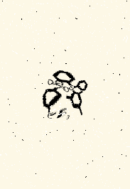 Cc1cc(C)c(S(OS(=O)(=O)c2cccc(C(F)(F)F)c2)(c2ccccc2)c2ccccc2)c(C)c1